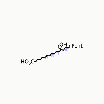 CCCCC/C=C/CC(/C=C/C=C/C/C=C/CCCCC(=O)O)OO